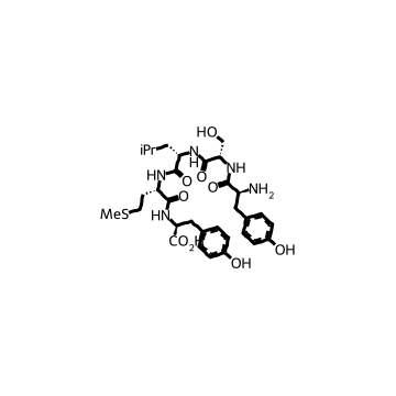 CSCC[C@H](NC(=O)[C@H](CC(C)C)NC(=O)[C@H](CO)NC(=O)[C@@H](N)Cc1ccc(O)cc1)C(=O)N[C@@H](Cc1ccc(O)cc1)C(=O)O